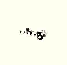 Cc1cn(COCC[Si](C)(C)C)c2nccc(Br)c12